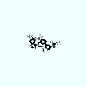 CCCN(Cc1cc(-c2cnc(Cl)c(NC(=O)OC)c2)ccc1C)c1ncnc2c1CC(C)(C)CC2